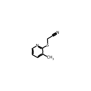 Cc1cccnc1SCC#N